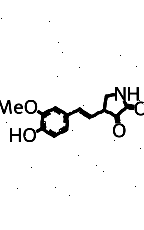 COc1cc(C=CC2CNC(=O)C2=O)ccc1O